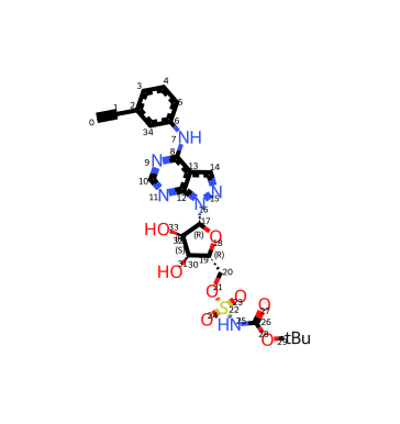 C#Cc1cccc(Nc2ncnc3c2cnn3[C@@H]2O[C@H](COS(=O)(=O)NC(=O)OC(C)(C)C)[C@@H](O)[C@H]2O)c1